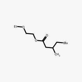 CCOC[CH]OC(=O)CC(C)CC(C)(C)C